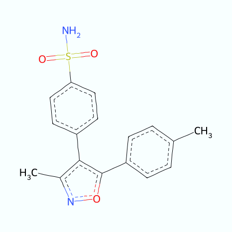 Cc1ccc(-c2onc(C)c2-c2ccc(S(N)(=O)=O)cc2)cc1